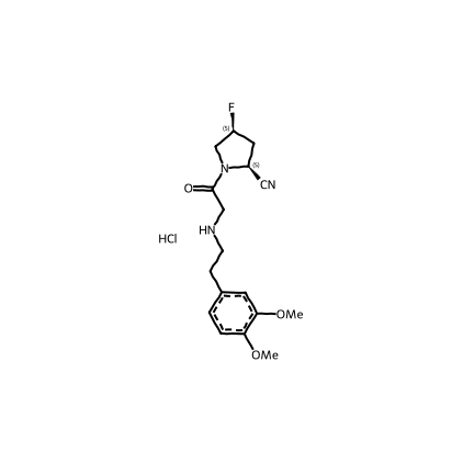 COc1ccc(CCNCC(=O)N2C[C@@H](F)C[C@H]2C#N)cc1OC.Cl